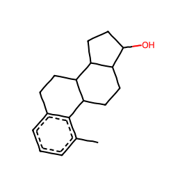 Cc1cccc2c1C1CCC3C(O)CCC3C1CC2